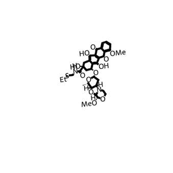 CCSCNC(=O)[C@]1(O)Cc2c(O)c3c(c(O)c2[C@@H](O[C@H]2C[C@H]4[C@H](O[C@@H]5[C@@H](OC)OCCN54)[C@H](C)O2)C1)C(=O)c1c(OC)cccc1C3=O